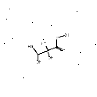 O=C(OO)C(O)(O)C(O)O